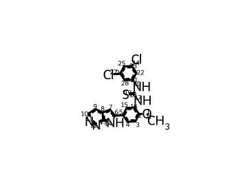 COc1ccc(-c2cc3ccnnc3[nH]2)cc1NC(=S)Nc1cc(Cl)cc(Cl)c1